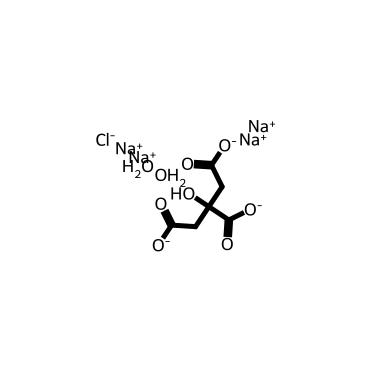 O.O.O=C([O-])CC(O)(CC(=O)[O-])C(=O)[O-].[Cl-].[Na+].[Na+].[Na+].[Na+]